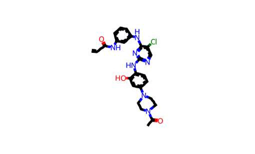 C=CC(=O)Nc1cccc(Nc2nc(Nc3ccc(N4CCN(C(C)=O)CC4)cc3O)ncc2Cl)c1